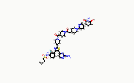 CCCS(=O)(=O)Nc1cccc(-c2nc(C3CCN(C(=O)C4CCN(C(=O)CC5CCN(c6ccc([C@H]7CCC(=O)NC7=O)cn6)CC5)CC4)CC3)sc2-c2ccnc(N)n2)c1F